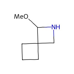 COC1NCC12CCC2